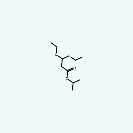 CCOC(CC(=O)OC(C)C)OCC